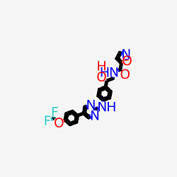 O=C(NCC(O)c1ccc(Nc2ncc(-c3ccc(OC(F)F)cc3)cn2)cc1)c1ccno1